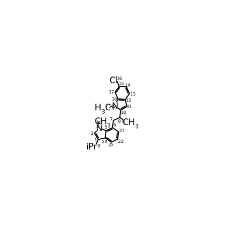 CC(C)c1cn(C)c2c(CC(C)c3cc4ccc(Cl)cc4n3C)cccc12